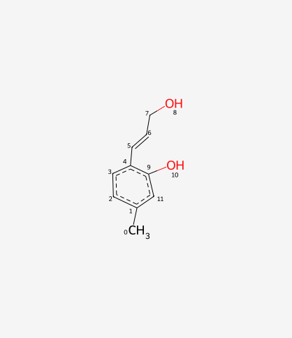 Cc1ccc(C=CCO)c(O)c1